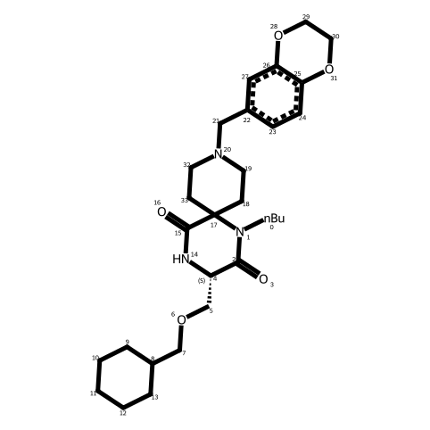 CCCCN1C(=O)[C@H](COCC2CCCCC2)NC(=O)C12CCN(Cc1ccc3c(c1)OCCO3)CC2